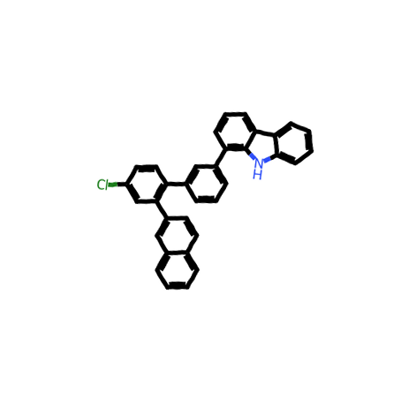 Clc1ccc(-c2cccc(-c3cccc4c3[nH]c3ccccc34)c2)c(-c2ccc3ccccc3c2)c1